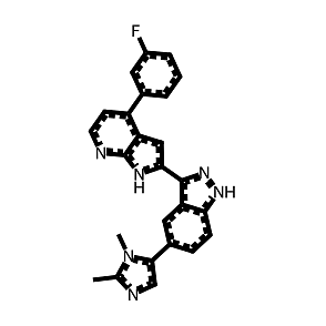 Cc1ncc(-c2ccc3[nH]nc(-c4cc5c(-c6cccc(F)c6)ccnc5[nH]4)c3c2)n1C